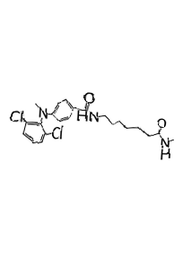 CNC(=O)CCCCCCNC(=O)c1ccc(N(C)c2c(Cl)cccc2Cl)cc1